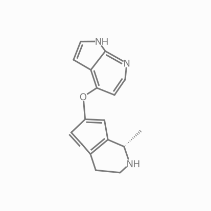 C[C@@H]1NCCc2ccc(Oc3ccnc4[nH]ccc34)cc21